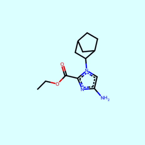 CCOC(=O)c1nc(N)cn1C1CC2CCC1C2